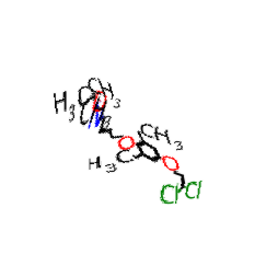 CCc1cc(OCC=C(Cl)Cl)cc(CC)c1OCCCCC=NOC(C)(C)C